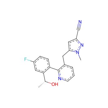 C[C@@H](O)c1cc(F)ccc1-c1ncccc1Cc1cc(C#N)nn1C